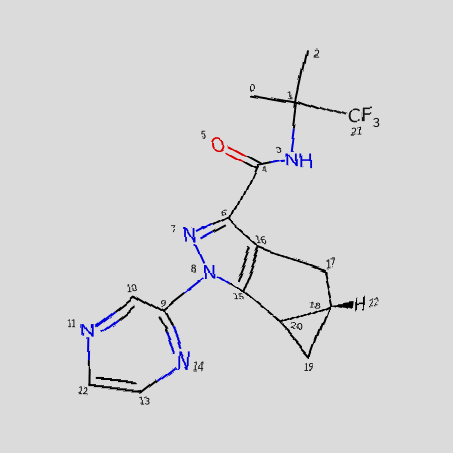 CC(C)(NC(=O)c1nn(-c2cnccn2)c2c1C[C@@H]1CC21)C(F)(F)F